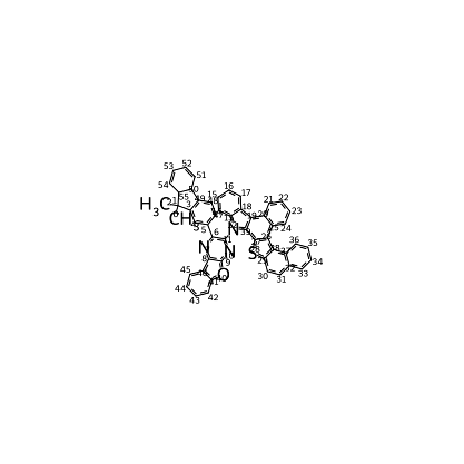 CC1(C)c2cc(-c3nc4c(nc3-n3c5ccccc5c5c6ccccc6c6c(sc7ccc8ccccc8c76)c53)oc3ccccc34)ccc2C2C=CC=CC21